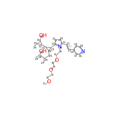 COCCOCCOCCn1c(/C=C/c2ccncc2)ccc1C1C(CC(C)C(C)O)C1C1C(C)C1O